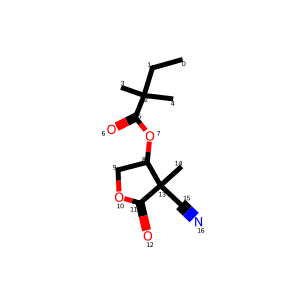 CCC(C)(C)C(=O)OC1COC(=O)C1(C)C#N